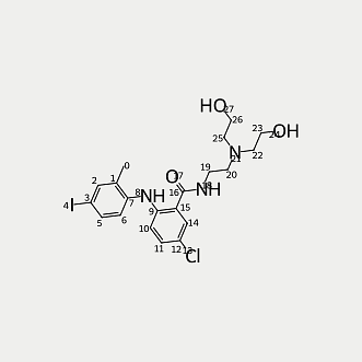 Cc1cc(I)ccc1Nc1ccc(Cl)cc1C(=O)NCCN(CCO)CCO